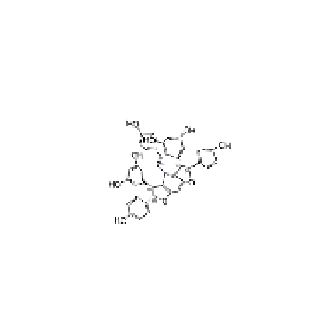 Oc1ccc(/C=C/c2c3c(cc4c2[C@H](c2cc(O)cc(O)c2)[C@@H](c2ccc(O)cc2)O4)O[C@H](c2ccc(O)cc2)[C@H]3c2cc(O)cc(O)c2)cc1